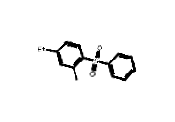 CCc1ccc(S(=O)(=O)c2ccccc2)c(C)c1